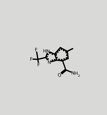 Cc1cc(C(N)=O)c2nc(C(F)(F)F)[nH]c2c1